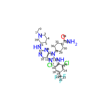 CCN1CCC[C@@H](Nc2ncc3nc(Nc4c(Cl)cc(C(F)(F)F)cc4Cl)n([C@H]4CC[C@@H](C(N)=O)CC4)c3n2)C1